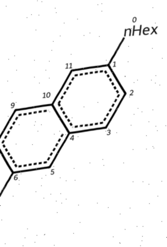 CCCCCCc1ccc2cc(CC)ccc2c1